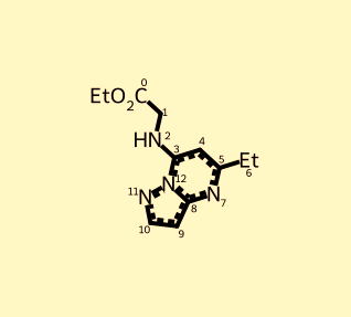 CCOC(=O)CNc1cc(CC)nc2ccnn12